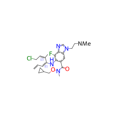 C=C/C=C(Nc1c(C(=O)N(C)OCC2CC2)cc2c(ncn2CCNC)c1F)\C(C)=C/CCl